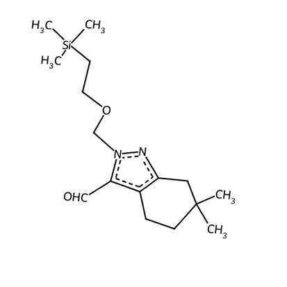 CC1(C)CCc2c(nn(COCC[Si](C)(C)C)c2C=O)C1